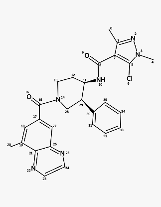 Cc1nn(C)c(Cl)c1C(=O)N[C@@H]1CCN(C(=O)c2cc(C)c3nccnc3c2)C[C@@H]1c1ccccc1